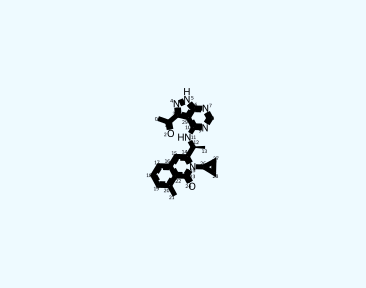 CC(=O)c1n[nH]c2ncnc(N[C@@H](C)c3cc4cccc(C)c4c(=O)n3C3CC3)c12